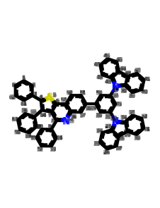 c1ccc(-c2sc3c(c(-c4ccccc4)nc4cc(-c5cc(-n6c7ccccc7c7ccccc76)cc(-n6c7ccccc7c7ccccc76)c5)ccc43)c2-c2ccccc2)cc1